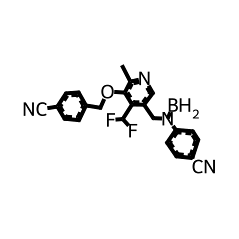 BN(Cc1cnc(C)c(OCc2ccc(C#N)cc2)c1C(F)F)c1ccc(C#N)cc1